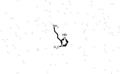 Br.Cn1ccnc1CCCN